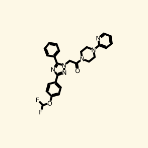 O=C(Cn1nc(-c2ccc(OC(F)F)cc2)nc1-c1ccccc1)N1CCN(c2ccccn2)CC1